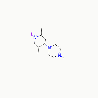 CC1CN(I)C(C)CC1N1CCN(C)CC1